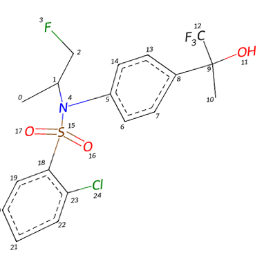 CC(CF)N(c1ccc(C(C)(O)C(F)(F)F)cc1)S(=O)(=O)c1ccccc1Cl